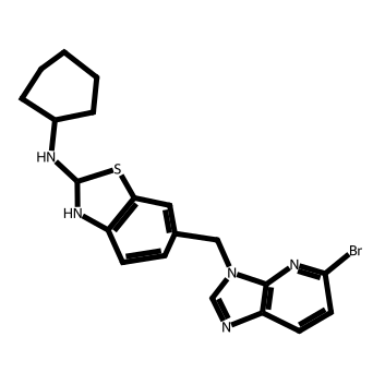 Brc1ccc2ncn(Cc3ccc4c(c3)SC(NC3CCCCC3)N4)c2n1